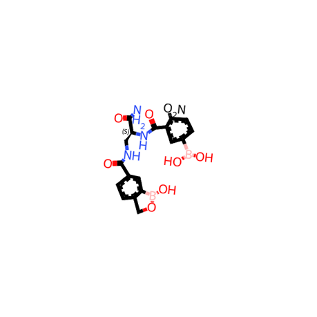 NC(=O)[C@H](CNC(=O)c1ccc2c(c1)B(O)OC2)NC(=O)c1cc(B(O)O)ccc1[N+](=O)[O-]